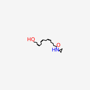 O=C(CCC/C=C\C/C=C\C/C=C\CCO)NC1CC1